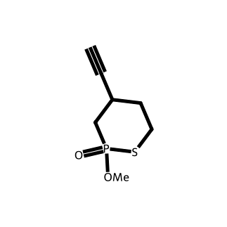 C#CC1CCSP(=O)(OC)C1